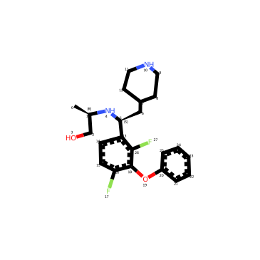 C[C@H](CO)N[C@@H](CC1CCNCC1)c1ccc(F)c(Oc2ccccc2)c1F